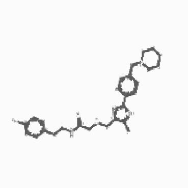 Cc1oc(-c2ccc(CN3CCCCC3)cc2)nc1CSCC(=O)NCCc1ccc(F)cc1